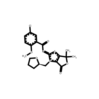 COc1ccc(Cl)cc1C(=O)/N=c1\sc2c(n1C[C@H]1CCCO1)C(=O)OC2(C)C